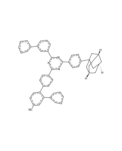 N#Cc1ccc(-c2ccc(-c3nc(-c4ccc(C56C[C@H]7C[C@@H](C5)C[C@@H](C6)C7)cc4)nc(-c4cccc(-c5ccccc5)c4)n3)cc2)c(-c2ccccc2)c1